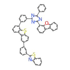 c1ccc(-c2nc(-c3cccc(-c4cccc5c4sc4ccc(-c6cccc(-c7nc8ccccc8s7)c6)cc45)c3)nc(-c3cccc4c3oc3ccccc34)n2)cc1